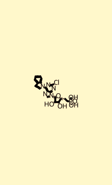 O=P(O)(O)CC[C@H]1O[C@@H](n2cnc3c(-n4ccc5ccccc54)nc(Cl)nc32)C(O)C1O